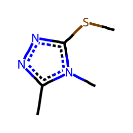 CSc1nnc(C)n1C